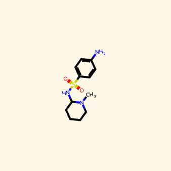 CN1CCCCC1NS(=O)(=O)c1ccc(N)cc1